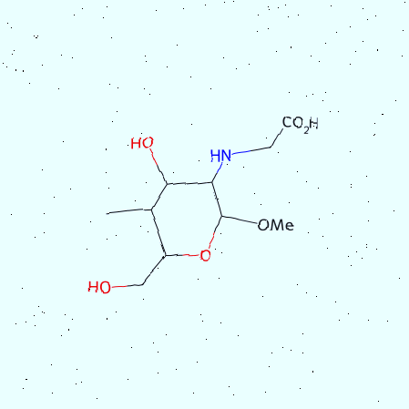 COC1OC(CO)C(C)C(O)C1NCC(=O)O